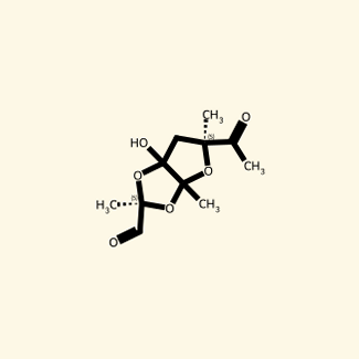 CC(=O)[C@]1(C)CC2(O)O[C@](C)(C=O)OC2(C)O1